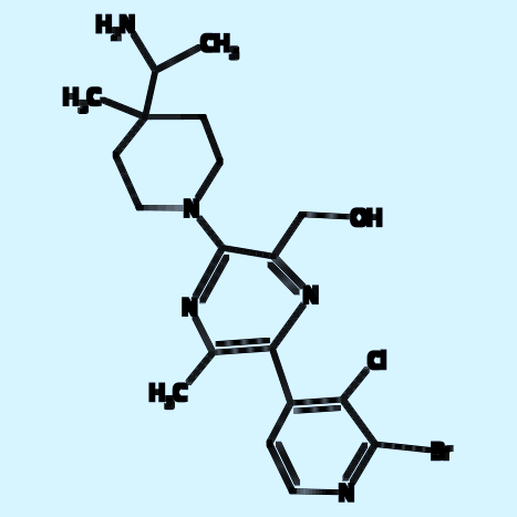 Cc1nc(N2CCC(C)(C(C)N)CC2)c(CO)nc1-c1ccnc(Br)c1Cl